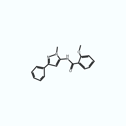 COc1ccccc1C(=O)Nc1cc(-c2ccccc2)nn1C